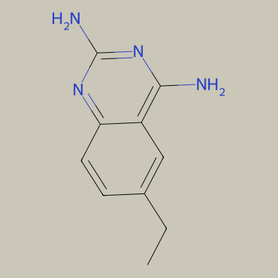 CCc1ccc2nc(N)nc(N)c2c1